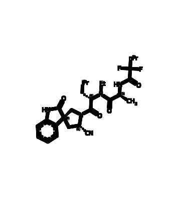 CCCC(F)(F)C(=O)N[C@@H](C)C(=O)N(CC)[C@@H](CC(C)C)C(=O)N1C[C@]2(C[C@H]1C#N)C(=O)Nc1ccccc12